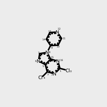 Clc1nc(Cl)c2ncn(-c3ccncc3)c2n1